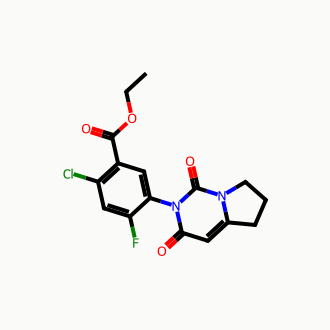 CCOC(=O)c1cc(-n2c(=O)cc3n(c2=O)CCC3)c(F)cc1Cl